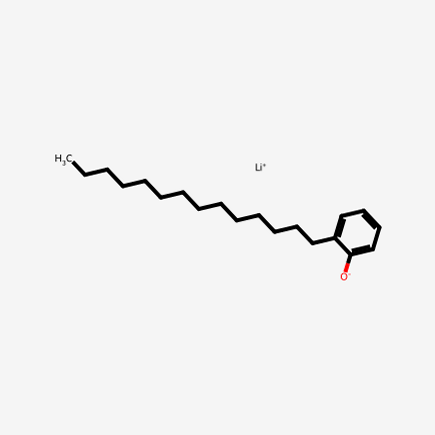 CCCCCCCCCCCCCCc1ccccc1[O-].[Li+]